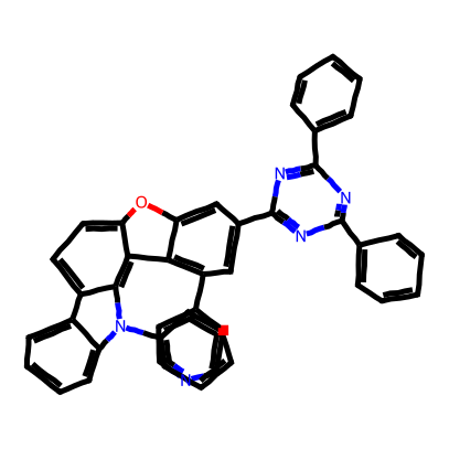 c1ccc(-c2nc(-c3ccccc3)nc(-c3cc(-c4ccncc4)c4c(c3)oc3ccc5c6ccccc6n(-c6ccccc6)c5c34)n2)cc1